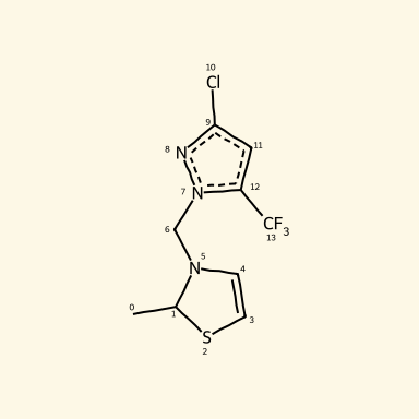 CC1SC=CN1Cn1nc(Cl)cc1C(F)(F)F